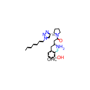 CC=CC=CC=Cn1cc([C@@H]2CCCN2C(=O)C[C@H](N)Cc2ccccc2F)nn1.O=CO